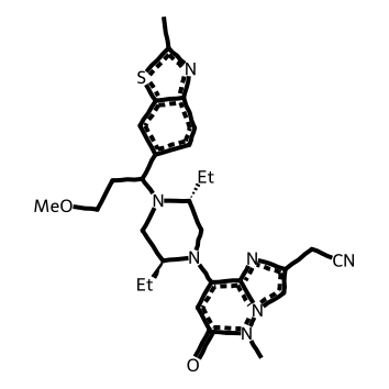 CC[C@H]1CN(C(CCOC)c2ccc3nc(C)sc3c2)[C@H](CC)CN1c1cc(=O)n(C)n2cc(CC#N)nc12